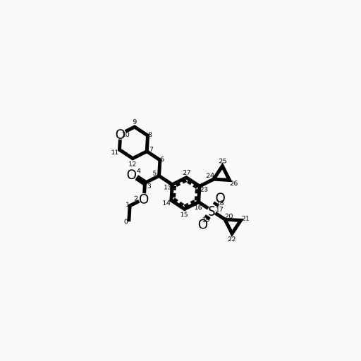 CCOC(=O)C(CC1CCOCC1)c1ccc(S(=O)(=O)C2CC2)c(C2CC2)c1